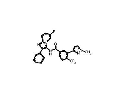 Cn1ccc(-c2cc(C(=O)Nc3c(-c4ccccc4)nc4ccc(F)cn34)ccc2C(F)(F)F)n1